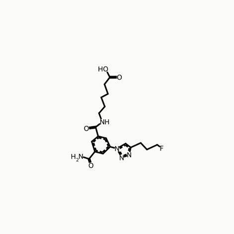 NC(=O)c1cc(C(=O)NCCCCCC(=O)O)cc(-n2cc(CCCF)nn2)c1